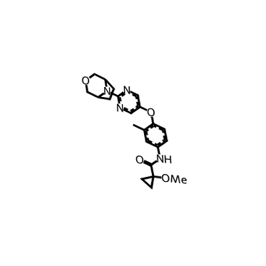 COC1(C(=O)Nc2ccc(Oc3cnc(N4C5CCC4COC5)nc3)c(C)c2)CC1